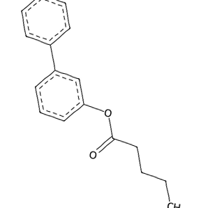 CCCCC(=O)Oc1cccc(-c2ccccc2)c1